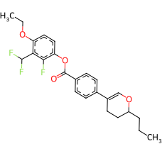 CCCC1CCC(c2ccc(C(=O)Oc3ccc(OCC)c(C(F)F)c3F)cc2)=CO1